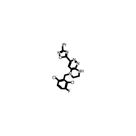 CC(C)c1noc(-c2cc3c(nn2)NCCN3Cc2c(Cl)ccc(F)c2Cl)n1